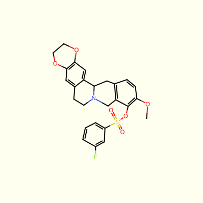 COc1ccc2c(c1OS(=O)(=O)c1cccc(F)c1)CN1CCc3cc4c(cc3C1C2)OCCO4